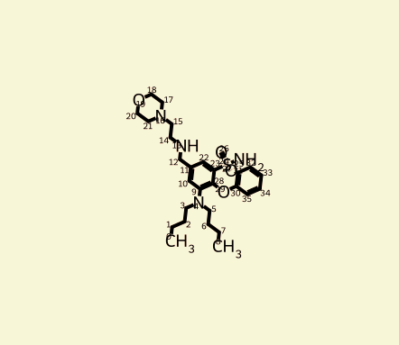 CCCCN(CCCC)c1cc(CNCCN2CCOCC2)cc(S(N)(=O)=O)c1Oc1ccccc1